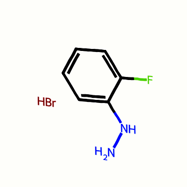 Br.NNc1ccccc1F